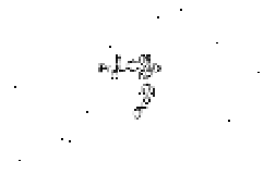 CC(C)C(=O)NCc1ccc(C(F)(F)F)c(-c2nc(-c3ccc(OCC4(C)COC4)nc3)cc(=O)[nH]2)c1